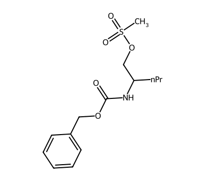 CCCC(COS(C)(=O)=O)NC(=O)OCc1ccccc1